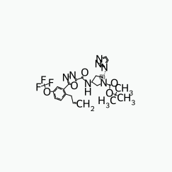 C=CCc1ccc(OC(F)(F)F)cc1-c1nnc(C(=O)NC2C[C@H](Cn3ccnn3)N(C(=O)OC(C)(C)C)C2)o1